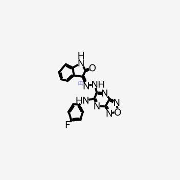 O=C1Nc2ccccc2/C1=N/Nc1nc2nonc2nc1Nc1ccc(F)cc1